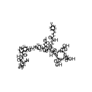 COC(=O)CC(NC(=O)C(CSCCNC(=O)CCCc1ccc(C)cc1)NC(=O)CN1CCN(CC(=O)O)CCN(CC(=O)O)CCN(CC(=O)O)CC1)C(=O)N1CCN(CCCOc2ccc3nccc(C(=O)NCC(=O)N4CC(F)(F)C[C@@H]4C#N)c3c2)CC1